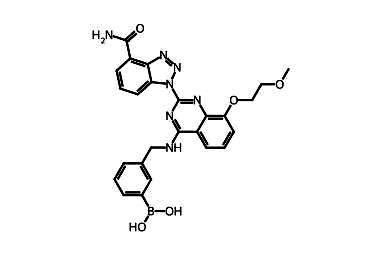 COCCOc1cccc2c(NCc3cccc(B(O)O)c3)nc(-n3nnc4c(C(N)=O)cccc43)nc12